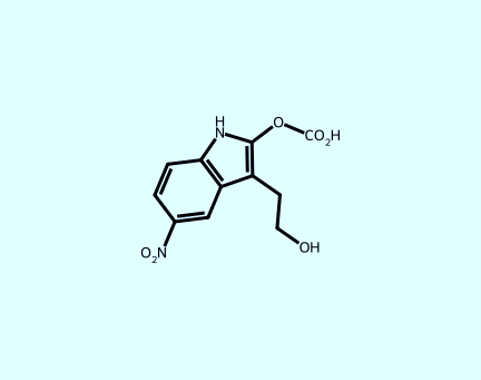 O=C(O)Oc1[nH]c2ccc([N+](=O)[O-])cc2c1CCO